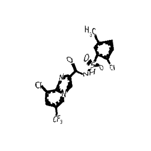 Cc1ccc(Cl)c(S(=O)(=O)NC(=O)c2cn3cc(C(F)(F)F)cc(Cl)c3n2)c1